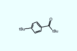 CC(C)(C)C(=O)c1ccc(C(C)(C)C)cc1